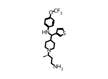 C[C@H](CCN)N1CCC(C(Nc2ccc(OC(F)(F)F)cc2)c2ccsc2)CC1